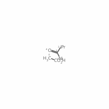 CC(=O)O.CC(C)[C](=O)[Ni]